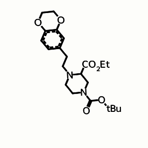 CCOC(=O)C1CN(C(=O)OC(C)(C)C)CCN1CCc1ccc2c(c1)OCCO2